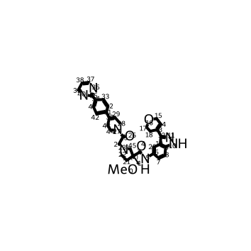 COC[C@@]1(C(=O)Nc2ccc3[nH]nc(C4=CCOCC4)c3c2)CCN(CC(=O)N2CC=C(c3ccc(-c4ncccn4)cc3)CC2)C1